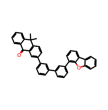 CC1(C)c2ccccc2C(=O)c2cc(-c3cccc(-c4cccc(-c5cccc6c5oc5ccccc56)c4)c3)ccc21